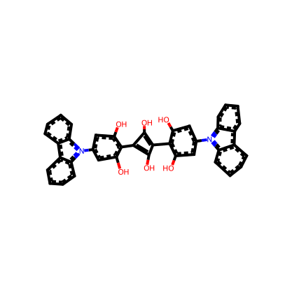 OC1=C(c2c(O)cc(-n3c4ccccc4c4ccccc43)cc2O)C(O)=C1c1c(O)cc(-n2c3ccccc3c3ccccc32)cc1O